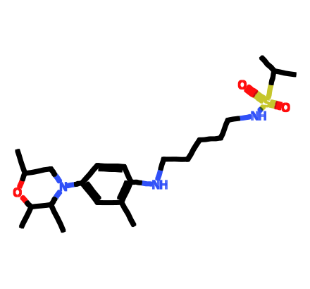 Cc1cc(N2CC(C)OC(C)C2C)ccc1NCCCCCNS(=O)(=O)C(C)C